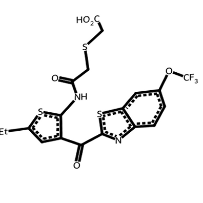 CCc1cc(C(=O)c2nc3ccc(OC(F)(F)F)cc3s2)c(NC(=O)CSCC(=O)O)s1